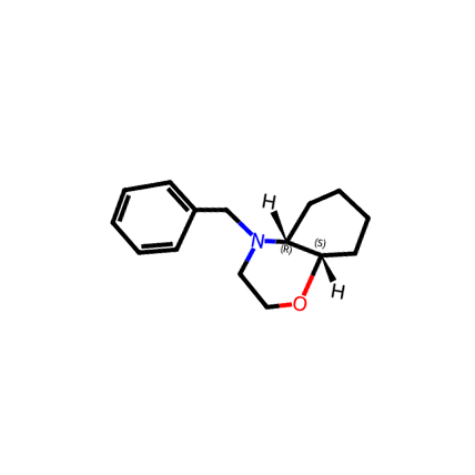 c1ccc(CN2CCO[C@H]3CCCC[C@H]32)cc1